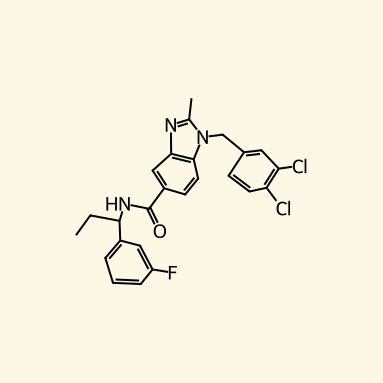 CCC(NC(=O)c1ccc2c(c1)nc(C)n2Cc1ccc(Cl)c(Cl)c1)c1cccc(F)c1